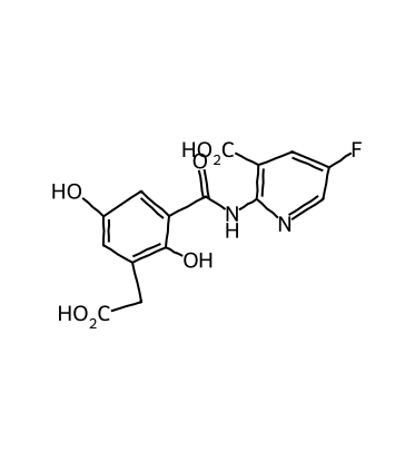 O=C(O)Cc1cc(O)cc(C(=O)Nc2ncc(F)cc2C(=O)O)c1O